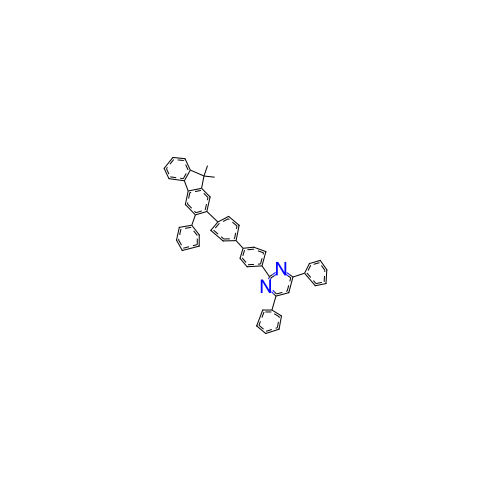 CC1(C)c2ccccc2-c2cc(-c3ccccc3)c(-c3ccc(-c4ccc(-c5nc(-c6ccccc6)cc(-c6ccccc6)n5)cc4)cc3)cc21